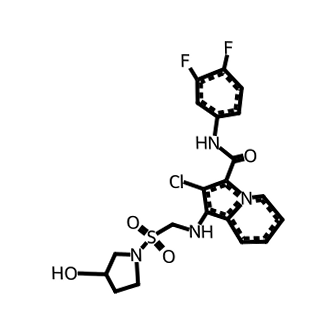 O=C(Nc1ccc(F)c(F)c1)c1c(Cl)c(NCS(=O)(=O)N2CCC(O)C2)c2ccccn12